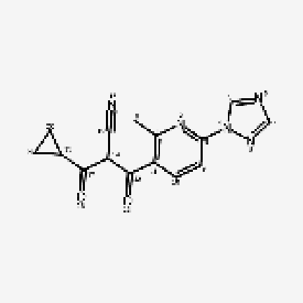 Cc1nc(-n2cncn2)ccc1C(=O)C(C#N)C(=O)C1CC1